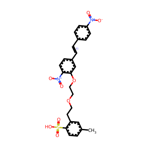 Cc1ccc(S(=O)(=O)O)c(CCOCCOc2cc(/C=C/c3ccc([N+](=O)[O-])cc3)ccc2[N+](=O)[O-])c1